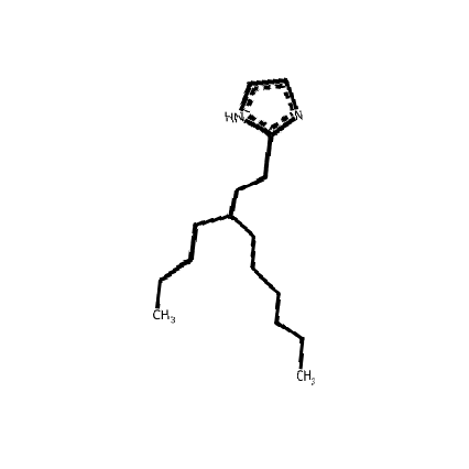 CCCCCCC(CCCC)CCc1ncc[nH]1